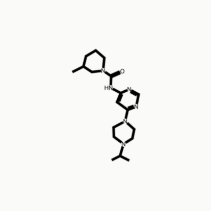 CC1CCCN(C(=O)Nc2cc(N3CCN(C(C)C)CC3)ncn2)C1